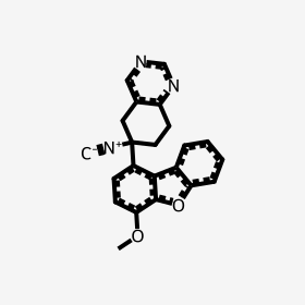 [C-]#[N+]C1(c2ccc(OC)c3oc4ccccc4c23)CCc2ncncc2C1